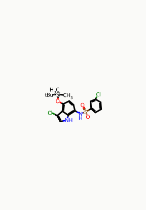 CC(C)(C)[Si](C)(C)Oc1ccc(NS(=O)(=O)c2cccc(Cl)c2)c2[nH]cc(Cl)c12